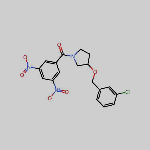 O=C(c1cc([N+](=O)[O-])cc([N+](=O)[O-])c1)N1CCC(OCc2cccc(Cl)c2)C1